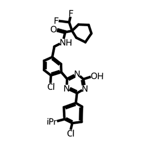 CC(C)c1cc(-c2nc(O)nc(-c3cc(CNC(=O)C4(C(F)F)CCCCC4)ccc3Cl)n2)ccc1Cl